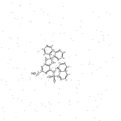 O=C(O)c1cc2c(c(OS(=O)(=O)c3cccc4cccnc34)c1)OC(c1ccccc1)(c1ccccc1)O2